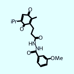 COc1cccc(C(=O)NNC(=O)CCC2=C(C)C(=O)C=C(C(C)C)C2=O)c1